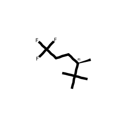 C[C@H](CCC(F)(F)F)C(C)(C)C